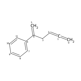 C=C=CCC(=C)c1ccccc1